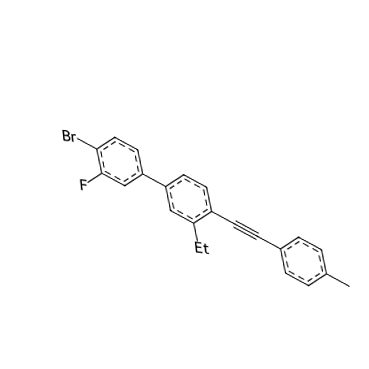 CCc1cc(-c2ccc(Br)c(F)c2)ccc1C#Cc1ccc(C)cc1